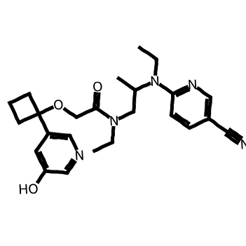 CCN(CC(C)N(CC)c1ccc(C#N)cn1)C(=O)COC1(c2cncc(O)c2)CCC1